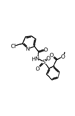 COC(=O)c1ccccc1S(=O)(=O)NC(=O)c1cccc(Cl)n1